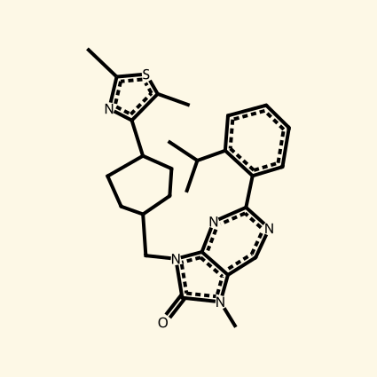 Cc1nc(C2CCC(Cn3c(=O)n(C)c4cnc(-c5ccccc5C(C)C)nc43)CC2)c(C)s1